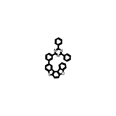 c1ccc(-c2nc(-c3ccccc3)nc(-c3cccc(-c4ccc5sc6ccc7oc8ccccc8c7c6c5c4)c3)n2)cc1